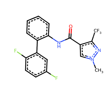 Cn1cc(C(=O)Nc2ccccc2-c2cc(F)ccc2F)c(C(F)(F)F)n1